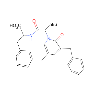 CCCCC(C(=O)NC(Cc1ccccc1)C(=O)O)n1cc(C)cc(Cc2ccccc2)c1=O